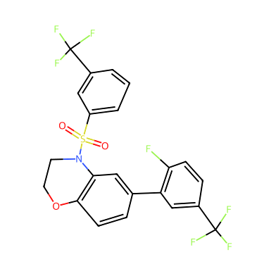 O=S(=O)(c1cccc(C(F)(F)F)c1)N1CCOc2ccc(-c3cc(C(F)(F)F)ccc3F)cc21